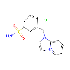 NS(=O)(=O)c1cccc(Cn2cc[n+]3ccccc23)c1.[Cl-]